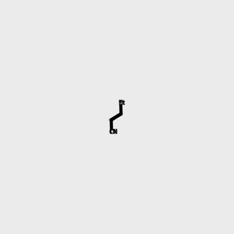 CCC[CH]C#N